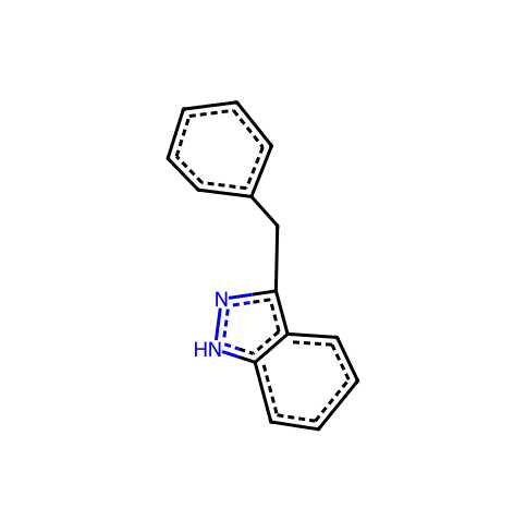 c1ccc(Cc2n[nH]c3ccccc23)cc1